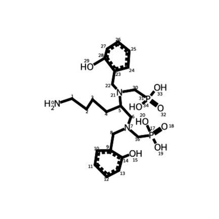 NCCCCC(CN(Cc1ccccc1O)CP(=O)(O)O)N(Cc1ccccc1O)CP(=O)(O)O